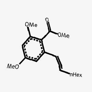 CCCCCCC=Cc1cc(OC)cc(OC)c1C(=O)OC